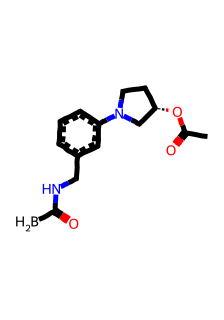 BC(=O)NCc1cccc(N2CC[C@H](OC(C)=O)C2)c1